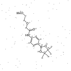 COCCOCC(=O)Nc1ccc(B2OC(C)(C)C(C)(C)O2)cc1